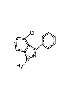 Cn1nc(-c2ccccc2)c2c(Cl)cnnc21